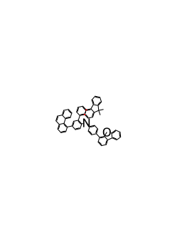 CC1(C)c2ccccc2-c2ccc(N(c3ccc(-c4cccc5c4oc4ccccc45)cc3)c3ccc(-c4cccc5ccc6ccccc6c45)cc3-c3ccccc3)cc21